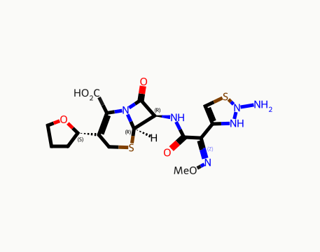 CO/N=C(\C(=O)N[C@@H]1C(=O)N2C(C(=O)O)=C([C@@H]3CCCO3)CS[C@H]12)C1=CSN(N)N1